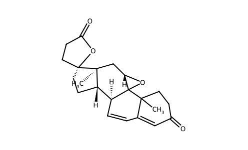 CC12CCC(=O)C=C1C=C[C@H]1[C@@H]3CC[C@@]4(CCC(=O)O4)[C@@]3(C)C[C@@H]3OC312